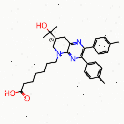 Cc1ccc(-c2nc3c(nc2-c2ccc(C)cc2)N(CCCCCCC(=O)O)C[C@@H](C(C)(C)O)C3)cc1